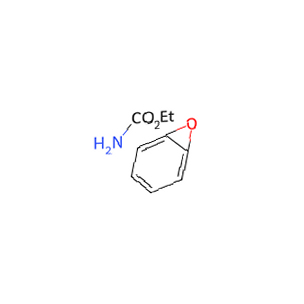 CCOC(N)=O.c1ccc2c(c1)O2